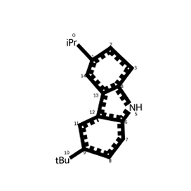 CC(C)c1ccc2[nH]c3ccc(C(C)(C)C)cc3c2c1